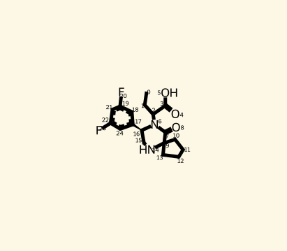 CCC(C(=O)O)N1C(=O)C2(CCCC2)NC[C@H]1c1cc(F)cc(F)c1